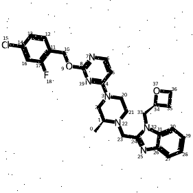 C[C@H]1CN(c2ccnc(OCc3ccc(Cl)cc3F)n2)CCN1Cc1nc2ccccc2n1C[C@@H]1CCO1